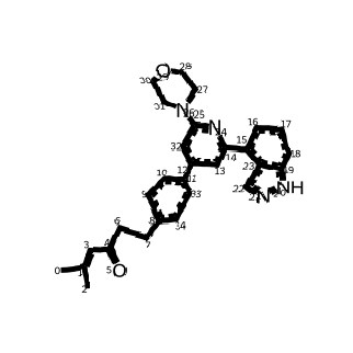 CC(C)=CC(=O)CCc1ccc(-c2cc(-c3cccc4[nH]ncc34)nc(N3CCOCC3)c2)cc1